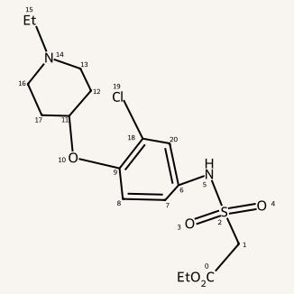 CCOC(=O)CS(=O)(=O)Nc1ccc(OC2CCN(CC)CC2)c(Cl)c1